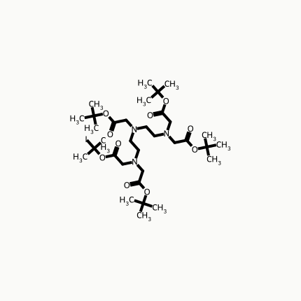 CC(C)(C)OC(=O)CN(CCN(CC(=O)OC(C)(C)C)CC(=O)OC(C)(C)C)CCN(CC(=O)OC(C)(C)C)CC(=O)OC(C)(C)I